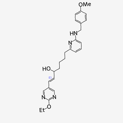 CCOc1ncc(/C=C/C(O)CCCCc2cccc(NCc3ccc(OC)cc3)n2)cn1